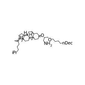 CCCCCCCCCCCCCCOCC(CN)O[C@H]1CC[C@@]2(C)C(=CC[C@H]3[C@@H]4CC[C@H]([C@H](C)CCCC(C)C)[C@@]4(C)CC[C@@H]32)C1